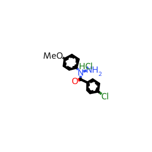 COc1ccc(N(N)C(=O)c2ccc(Cl)cc2)cc1.Cl